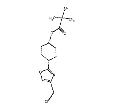 CC(C)(C)C(=O)ON1CCC(c2nc(CCl)co2)CC1